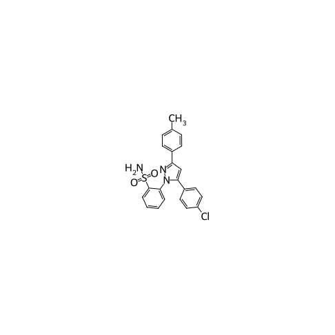 Cc1ccc(-c2cc(-c3ccc(Cl)cc3)n(-c3ccccc3S(N)(=O)=O)n2)cc1